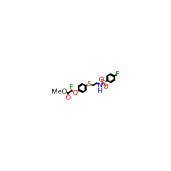 COC(=O)C(F)Oc1ccc(SCCNS(=O)(=O)c2ccc(F)cc2)cc1